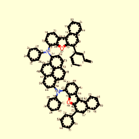 C=C/C=C(\C=C/C)c1cc2ccccc2c2c1oc1c(N(c3ccccc3)c3ccc4ccc5c(N(c6ccccc6)c6cccc7c6oc6c(-c8ccccc8)cc8ccccc8c67)ccc6ccc3c4c65)cccc12